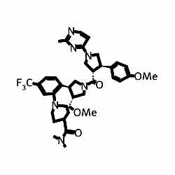 COC[C@H]1CN(C(=O)[C@@H]2CN(c3ccnc(C)n3)C[C@H]2c2ccc(OC)cc2)C[C@@H]1c1ccc(C(F)(F)F)cc1N1CCC(C(=O)N(C)C)CC1